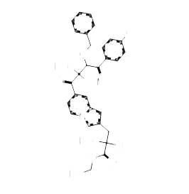 CCOC(=O)C(C)(C)Cc1cc2cc(C(=O)C(C)(C)C(OCc3ccccc3)C(=O)c3ccc(Cl)cc3)ccn2c1